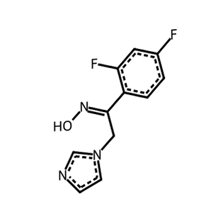 O/N=C(\Cn1ccnc1)c1ccc(F)cc1F